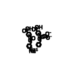 O=C(O)C1CCN(C(=O)OCc2ccccc2)CC1.O=C(O)C1CCN(C(=O)OCc2ccccc2)CC1.O=C([O-])[O-].[Na+].[Na+]